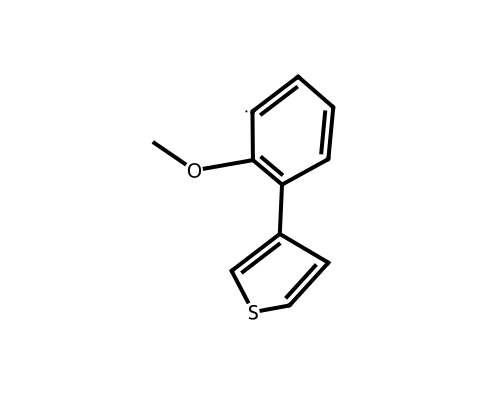 COc1[c]cccc1-c1ccsc1